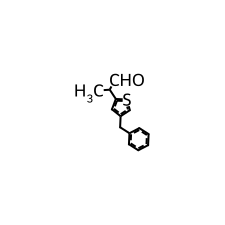 CC(C=O)c1cc(Cc2ccccc2)cs1